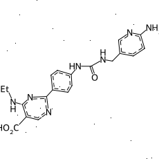 CCNc1nc(-c2ccc(NC(=O)NCc3ccc(N)nc3)cc2)ncc1C(=O)O